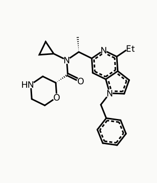 CCc1nc([C@@H](C)N(C(=O)[C@H]2CNCCO2)C2CC2)cc2c1ccn2Cc1ccccc1